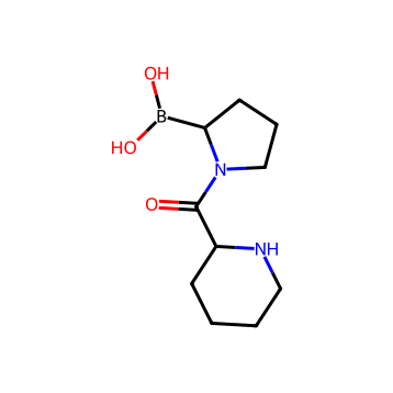 O=C(C1CCCCN1)N1CCCC1B(O)O